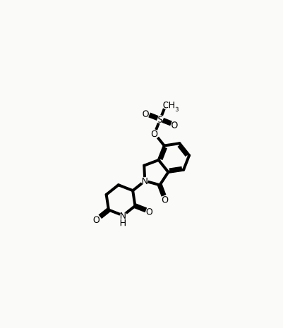 CS(=O)(=O)Oc1cccc2c1CN(C1CCC(=O)NC1=O)C2=O